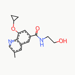 Cc1cnc2c(OC3CC3)cc(C(=O)NCCO)cc2c1